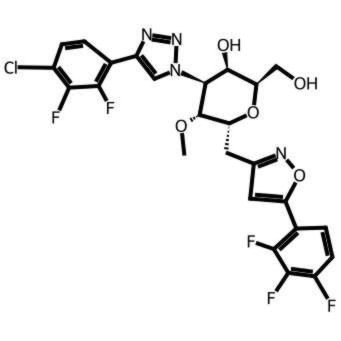 CO[C@@H]1[C@@H](n2cc(-c3ccc(Cl)c(F)c3F)nn2)[C@@H](O)[C@@H](CO)O[C@@H]1Cc1cc(-c2ccc(F)c(F)c2F)on1